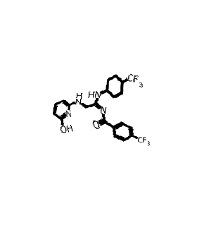 O=C(/N=C(\CNc1cccc(O)n1)NC1CCC(C(F)(F)F)CC1)c1ccc(C(F)(F)F)cc1